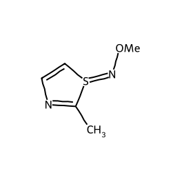 CON=S1C=CN=C1C